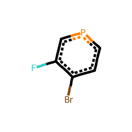 Fc1cpccc1Br